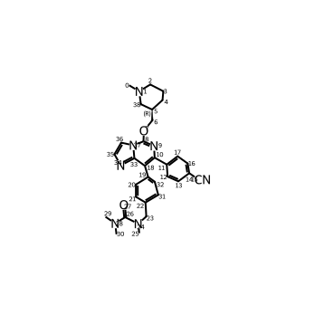 CN1CCC[C@@H](COc2nc(-c3ccc(C#N)cc3)c(-c3ccc(CN(C)C(=O)N(C)C)cc3)c3nccn23)C1